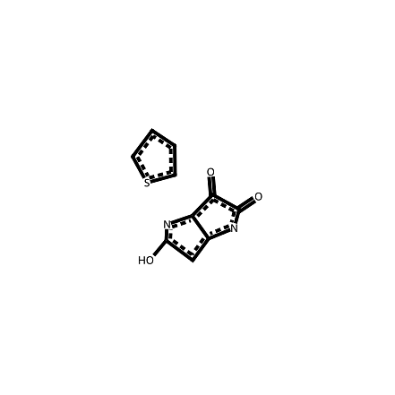 O=c1nc2cc(O)nc-2c1=O.c1ccsc1